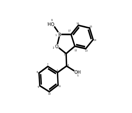 OB1OC(C(O)c2ccccc2)c2ccccc21